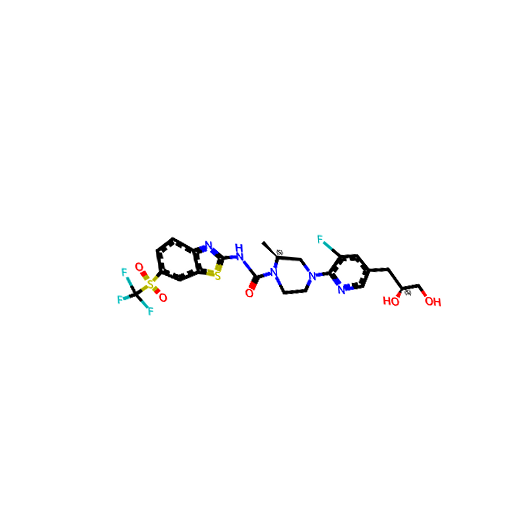 C[C@H]1CN(c2ncc(C[C@H](O)CO)cc2F)CCN1C(=O)Nc1nc2ccc(S(=O)(=O)C(F)(F)F)cc2s1